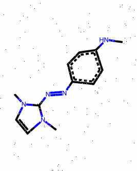 CNc1ccc(/N=N/C2N(C)C=CN2C)cc1